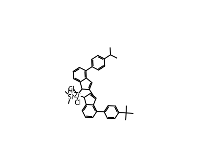 CC1=Cc2c(-c3ccc(C(C)C)cc3)cccc2[CH]1[Zr]([Cl])([Cl])([CH]1C=Cc2c(-c3ccc(C(C)(C)C)cc3)cccc21)[SiH](C)C